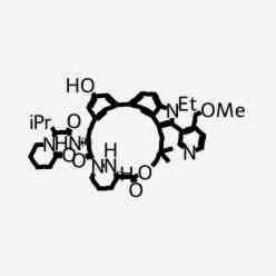 CCn1c(-c2cnccc2COC)c2c3cc(ccc31)-c1cc(O)cc(c1)C[C@H](NC(=O)C(C(C)C)N1CCCCC1=O)C(=O)N1CCC[C@H](N1)C(=O)OCC(C)(C)C2